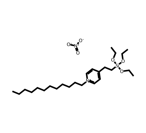 CCCCCCCCCCCC[n+]1ccc(CC[Si](OCC)(OCC)OCC)cc1.O=[N+]([O-])[O-]